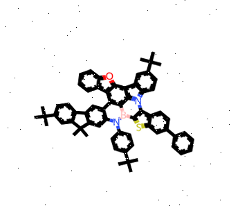 CC(C)(C)c1ccc(N2B3c4sc5cc(-c6ccccc6)ccc5c4-n4c5ccc(C(C)(C)C)cc5c5c6oc7ccccc7c6c(c3c54)-c3cc4c(cc32)C(C)(C)c2cc(C(C)(C)C)ccc2-4)cc1